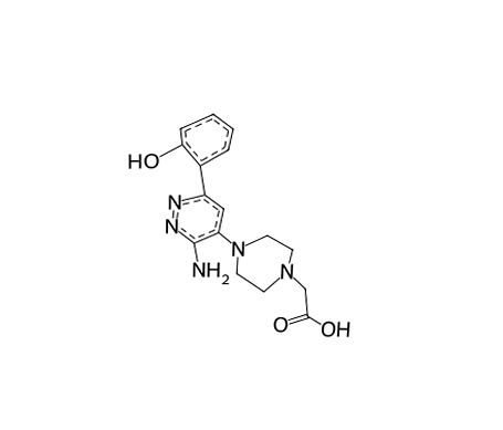 Nc1nnc(-c2ccccc2O)cc1N1CCN(CC(=O)O)CC1